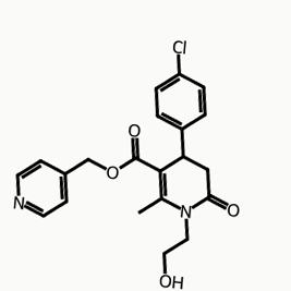 CC1=C(C(=O)OCc2ccncc2)C(c2ccc(Cl)cc2)CC(=O)N1CCO